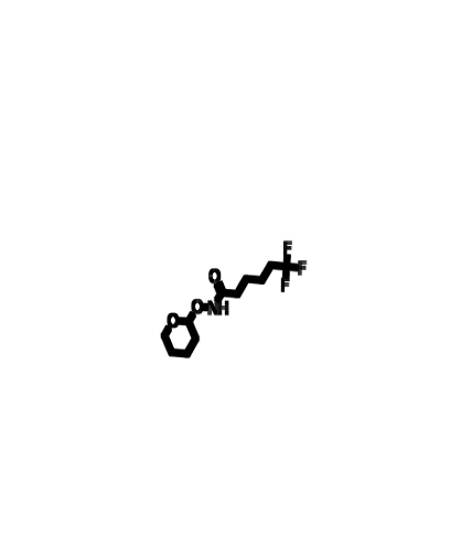 O=C(CCCCC(F)(F)F)NOC1CCCCO1